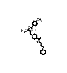 CC1=C(CN2CCC(C(=O)NCCCN3CCCCC3)CC2)NC(c2ccc(C)cc2)O1